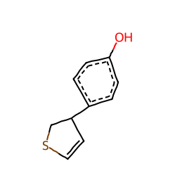 Oc1ccc(C2C=CSC2)cc1